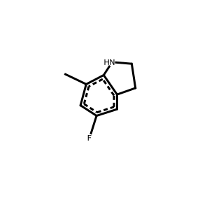 Cc1cc(F)cc2c1NCC2